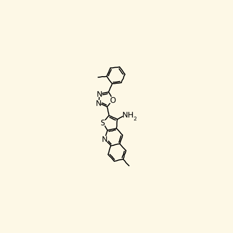 Cc1ccc2nc3sc(-c4nnc(-c5ccccc5C)o4)c(N)c3cc2c1